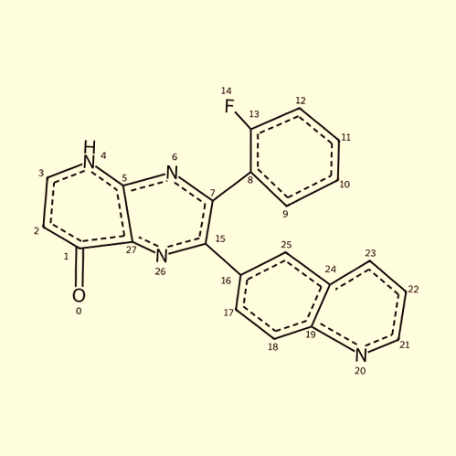 O=c1cc[nH]c2nc(-c3ccccc3F)c(-c3ccc4ncccc4c3)nc12